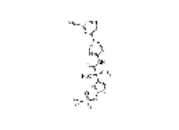 CC(C)(C(=O)Nc1ncc(-c2cncc(C#N)c2)cn1)c1csc(NS(=O)(=O)C2CC2)n1